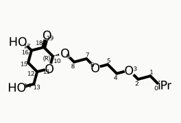 CC(C)CCOCCOCCO[C@@H]1OC(CO)CC(O)C1=O